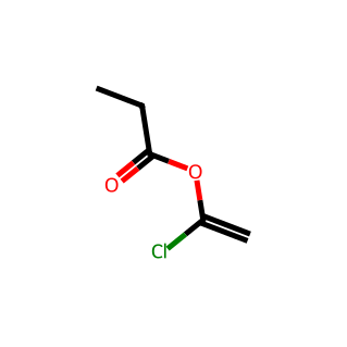 C=C(Cl)OC(=O)CC